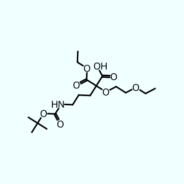 CCOCCOC(CCCNC(=O)OC(C)(C)C)(C(=O)O)C(=O)OCC